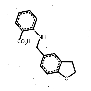 O=C(O)c1ccccc1NCc1ccc2c(c1)CCO2